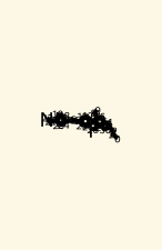 CCCC1=Cc2cc(CC)c(-c3ccc(C#Cc4ccc(C#N)cc4)cc3)c(F)c2C1